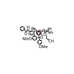 C#CCCOP(OC1CC(n2cnc3c(NC(=O)c4ccccc4)ncnc32)OC1COC(c1ccccc1)(c1ccc(OC)cc1)c1ccc(OC)cc1)N(C(C)C)C(C)C